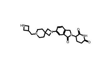 O=C1CCC(N2Cc3ccc(N4CC5(CCN(CC6CNC6)CC5)C4)cc3C2=O)C(=O)N1